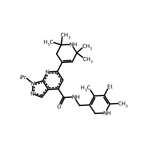 CCC1=C(C)NCC(CNC(=O)c2cc(C3=CC(C)(C)NC(C)(C)C3)nc3c2cnn3C(C)C)=C1C